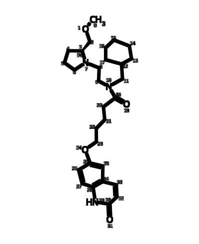 COC[C@@H]1CCCN1CCN(CC1CCCCC1)C(=O)CCCCOc1ccc2[nH]c(=O)ccc2c1